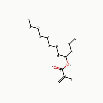 C=C(C)C(=O)OC(CCC)CCCCCCCC